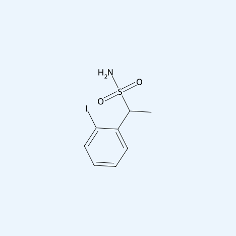 CC(c1ccccc1I)S(N)(=O)=O